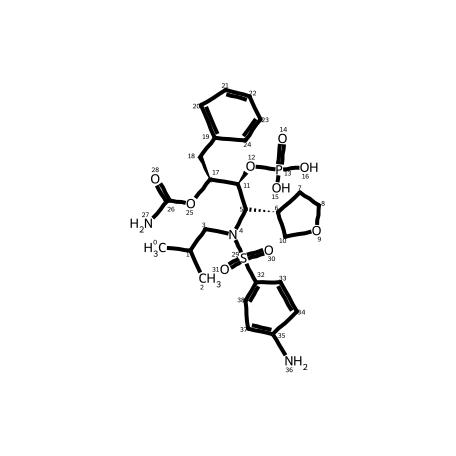 CC(C)CN(C([C@@H]1CCOC1)[C@H](OP(=O)(O)O)[C@H](Cc1ccccc1)OC(N)=O)S(=O)(=O)c1ccc(N)cc1